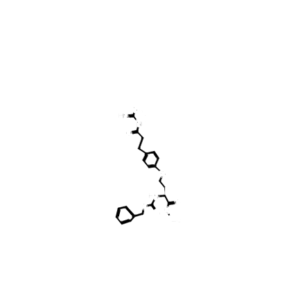 CC(C)(C)OC(=O)[C@H](CCOc1ccc(CCC(=O)NC(=N)N)cc1)NC(=O)OCc1ccccc1